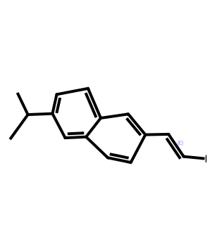 CC(C)c1ccc2cc(/C=C/I)ccc2c1